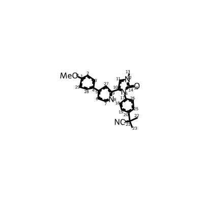 COc1ccc(-c2ccnc(-c3cn(C)c(=O)n3-c3ccc(C(C)(C)C#N)cc3)c2)cc1